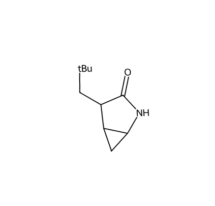 CC(C)(C)CC1C(=O)NC2CC21